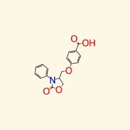 O=C(O)c1ccc(OCC2COC(=O)N2c2ccccc2)cc1